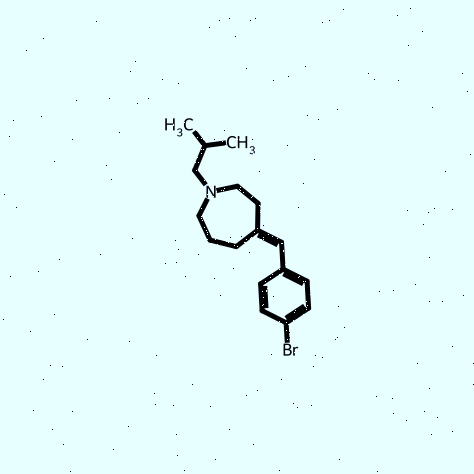 CC(C)CN1CCCC(=Cc2ccc(Br)cc2)CC1